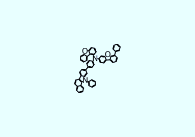 c1ccc(-c2cccc3c2oc2cc(N(c4ccc(-c5ccc6c7ccc8ccccc8c7n(-c7ccccc7)c6c5)cc4)c4cccc5oc6ccccc6c45)ccc23)cc1